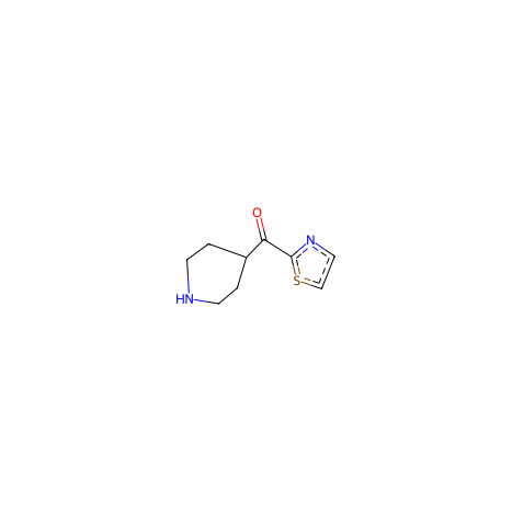 O=C(c1nccs1)C1CCNCC1